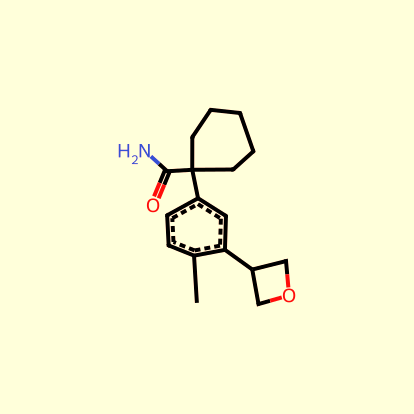 Cc1ccc(C2(C(N)=O)CCCCC2)cc1C1COC1